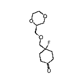 O=C1CCC(F)(COC[C@@H]2COCCO2)CC1